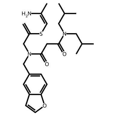 C=C(CN(Cc1ccc2occc2c1)C(=O)CC(=O)N(CC(C)C)CC(C)C)S/C=C(/C)N